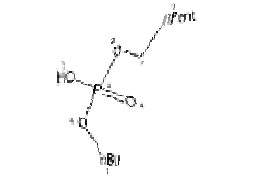 CCCCCCOP(=O)(O)OCCCC